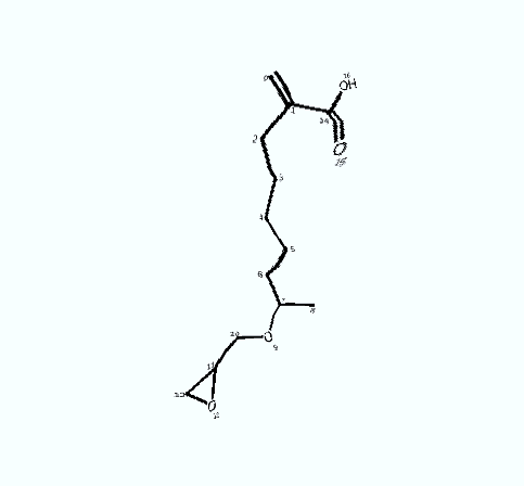 C=C(CCCCCC(C)OCC1CO1)C(=O)O